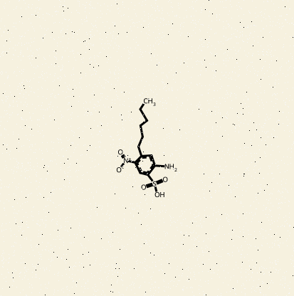 CCCCCCc1cc(N)c(S(=O)(=O)O)cc1[N+](=O)[O-]